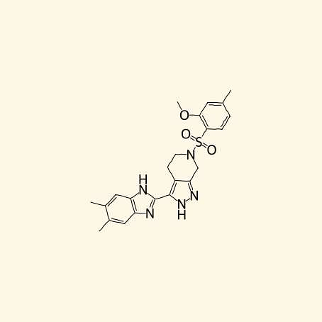 COc1cc(C)ccc1S(=O)(=O)N1CCc2c(n[nH]c2-c2nc3cc(C)c(C)cc3[nH]2)C1